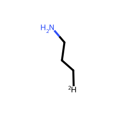 [2H]CCCN